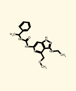 CCNc1n[nH]c2cc(NC(=O)NC(C)c3ccccc3)nc(COC)c12